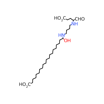 O=CC(CCC(=O)O)NCCCCNC(O)CCCCCCCCCCCCCCCCCCC(=O)O